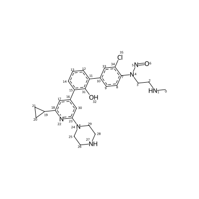 CNCCN(N=O)c1ccc(-c2cccc(-c3cc(C4CC4)nc(N4CCNCC4)c3)c2O)cc1Cl